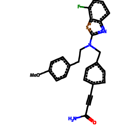 COc1ccc(CCN(Cc2ccc(C#CC(N)=O)cc2)c2nc3cccc(F)c3s2)cc1